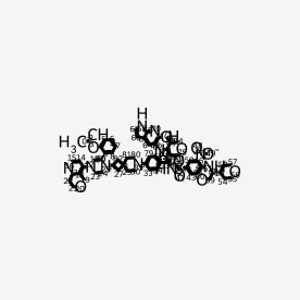 CC(C)Oc1ccccc1[C@@H]1CN(c2ccnc3c2COCC3)CCN1C1CC2(CCN(c3ccc(C(=O)NS(=O)(=O)c4cc5c(c([N+](=O)[O-])c4)N[C@H](C4CCOCC4)CO5)c(N4c5cc6cc[nH]c6nc5O[C@H]5COCC[C@@H]54)c3)CC2)C1